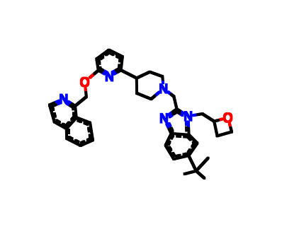 CC(C)(C)c1ccc2nc(CN3CCC(c4cccc(OCc5nccc6ccccc56)n4)CC3)n(CC3CCO3)c2c1